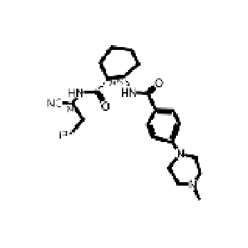 CC(C)C[C@@H](C#N)NC(=O)[C@@H]1CCCC[C@@H]1NC(=O)c1ccc(N2CCN(C)CC2)cc1